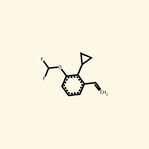 C=Cc1cccc(OC(F)F)c1C1CC1